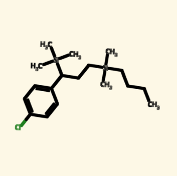 CCCC[Si](C)(C)CCC(c1ccc(Cl)cc1)[Si](C)(C)C